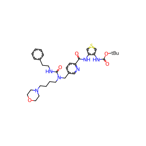 CC(C)(C)OC(=O)Nc1cscc1NC(=O)c1ccc(CN(CCCCN2CCOCC2)C(=O)NCCc2ccccc2)cn1